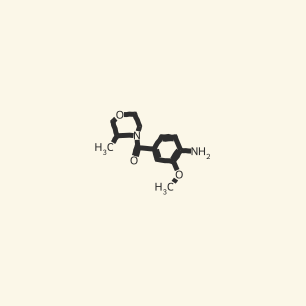 COc1cc(C(=O)N2CCOCC2C)ccc1N